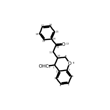 O=CC1c2ccccc2OCC1CC(=O)c1ccccc1